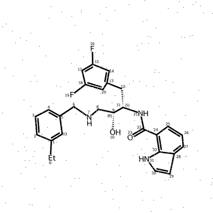 CCc1cccc(CNC[C@@H](O)[C@H](Cc2cc(F)cc(F)c2)NC(=O)c2cccc3cc[nH]c23)c1